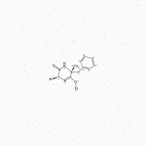 CCOC1=N[C@@H](C(C)C)C(=O)N[C@]1(C)Cc1ccccc1